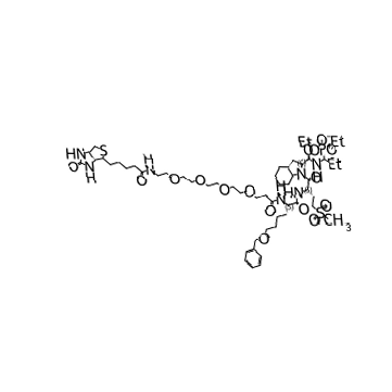 CCO[P+]([O-])(OCC)C(CC)NC(=O)[C@@H]1CC2CCCCC2N1C(=O)[C@H](CCS(C)(=O)=O)NC(=O)[C@H](CCCCOCc1ccccc1)NC(=O)CCOCCOCCOCCOCCNC(=O)CCCCC1SCC2NC(=O)NC21